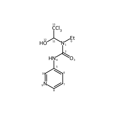 CCN(C(=O)Nc1cccnc1)C(O)C(Cl)(Cl)Cl